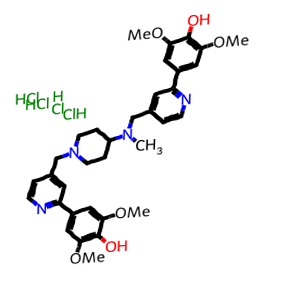 COc1cc(-c2cc(CN3CCC(N(C)Cc4ccnc(-c5cc(OC)c(O)c(OC)c5)c4)CC3)ccn2)cc(OC)c1O.Cl.Cl.Cl.Cl